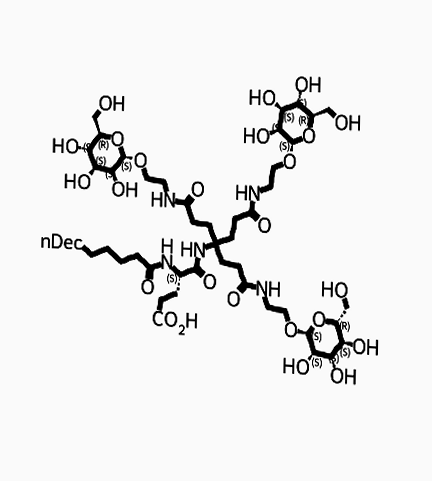 CCCCCCCCCCCCCCC(=O)N[C@@H](CCC(=O)O)C(=O)NC(CCC(=O)NCCO[C@H]1O[C@H](CO)[C@@H](O)[C@H](O)[C@@H]1O)(CCC(=O)NCCO[C@H]1O[C@H](CO)[C@@H](O)[C@H](O)[C@@H]1O)CCC(=O)NCCO[C@H]1O[C@H](CO)[C@@H](O)[C@H](O)[C@@H]1O